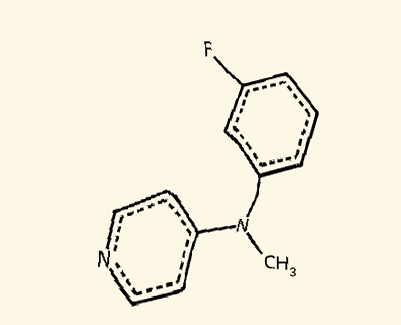 CN(c1ccncc1)c1cccc(F)c1